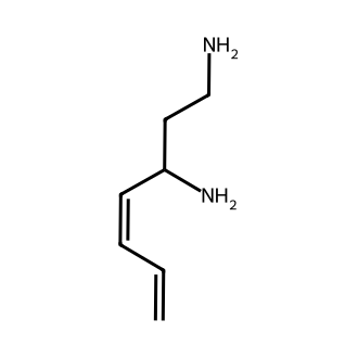 C=C/C=C\C(N)CCN